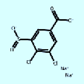 O=C([O-])c1cc(Cl)c(Cl)c(S(=O)[O-])c1.[Na+].[Na+]